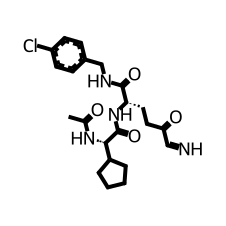 CC(=O)N[C@H](C(=O)N[C@@H](CCC(=O)C=N)C(=O)NCc1ccc(Cl)cc1)C1CCCC1